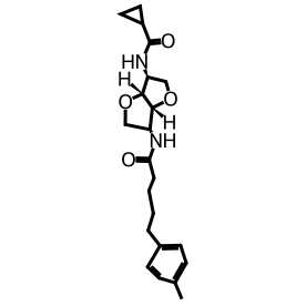 Cc1ccc(CCCCC(=O)N[C@H]2CO[C@H]3[C@@H]2OC[C@@H]3NC(=O)C2CC2)cc1